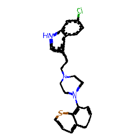 Clc1ccc2c(CCN3CCN(C4=C5SC=CC=C5CC=C4)CC3)c[nH]c2c1